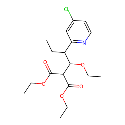 CCOC(=O)C(C(=O)OCC)C(OCC)C(CC)c1cc(Cl)ccn1